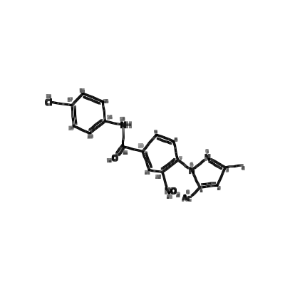 CC(=O)c1cc(C)nn1-c1ccc(C(=O)Nc2ccc(Cl)cc2)cc1[N+](=O)[O-]